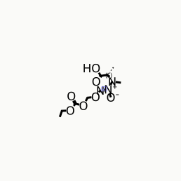 CCOC(=O)OCO/N=[N+](\[O-])N(C)[C@@H](C)C(=O)O